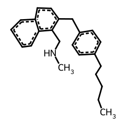 CCCCCc1ccc(Cc2ccc3ccccc3c2CNC)cc1